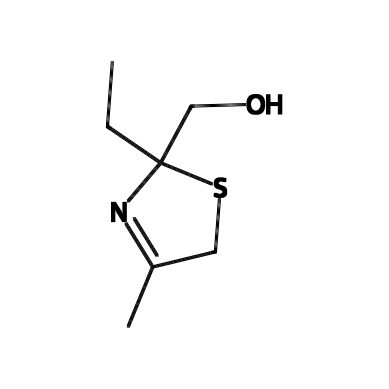 CCC1(CO)N=C(C)CS1